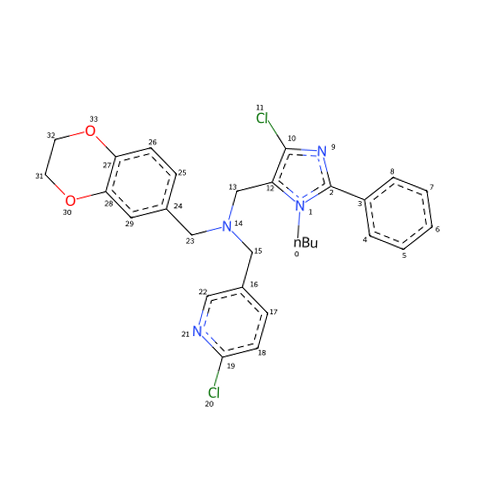 CCCCn1c(-c2ccccc2)nc(Cl)c1CN(Cc1ccc(Cl)nc1)Cc1ccc2c(c1)OCCO2